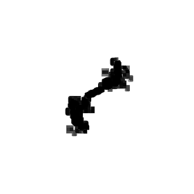 Cc1ncoc1-c1ccc(CNC(=O)[C@@H]2C[C@@H](O)CN2C(=O)[C@@H](NC(=O)COCC#CC#CCOc2ccc(N3C(=S)N([C@H](C)[C@@H](C)C(C#N)C=CCl)C(=O)C3(C)C)cc2)C(C)(C)C)cc1